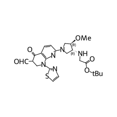 CO[C@@H]1CN(c2ccc3c(n2)N(c2nccs2)CC(C=O)C3=O)C[C@H]1NCC(=O)OC(C)(C)C